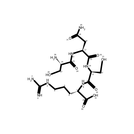 N=C(N)NCCC[C@H](NC(=O)[C@H](CO)NC(=O)[C@H](CC(N)=O)NC(=O)[C@@H](N)CO)C(=O)O